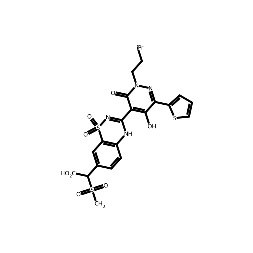 CC(C)CCn1nc(-c2cccs2)c(O)c(C2=NS(=O)(=O)c3cc(C(C(=O)O)S(C)(=O)=O)ccc3N2)c1=O